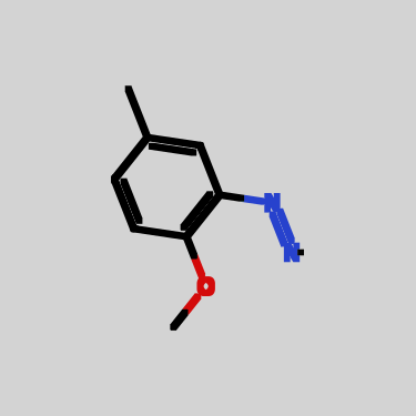 COc1ccc(C)cc1N=[N]